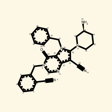 N#Cc1ccccc1Cn1cnc2c(C#N)c(N3CCC[C@H](N)C3)n(Cc3ccccc3)c2c1=O